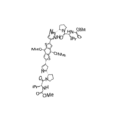 COC(=O)N[C@H](C(=O)N1CCC[C@H]1C1=NC=C(c2cc3c(OC)c4sc(-c5cnc([C@@H]6CCCN6C(=O)[C@@H](NC(=O)OC)C(C)C)[nH]5)cc4c(OC)c3s2)C1)C(C)C